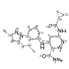 CNC(=O)c1nnc(NC(=O)C2CC2)cc1Nc1cccc2c1C(C)Cc1cc(C)nn1-2